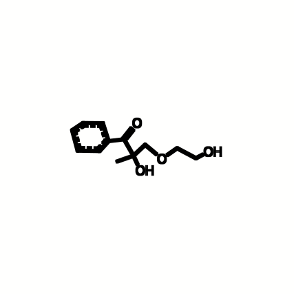 CC(O)(COCCO)C(=O)c1ccccc1